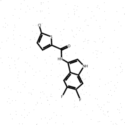 O=C(Nc1c[nH]c2cc(F)c(F)cc12)c1ccc(Cl)s1